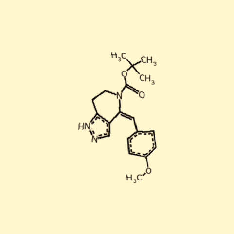 COc1ccc(/C=C2\c3cn[nH]c3CCN2C(=O)OC(C)(C)C)cc1